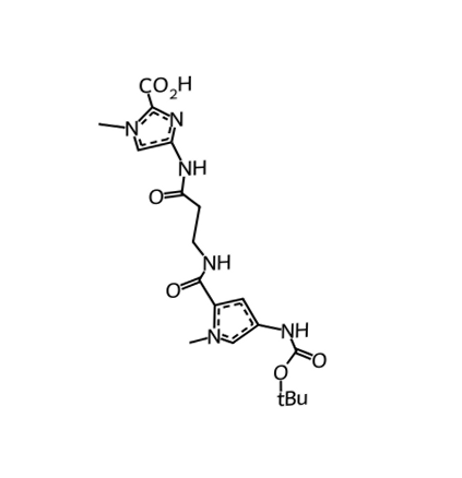 Cn1cc(NC(=O)OC(C)(C)C)cc1C(=O)NCCC(=O)Nc1cn(C)c(C(=O)O)n1